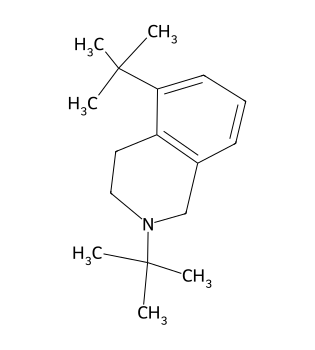 CC(C)(C)c1cccc2c1CCN(C(C)(C)C)C2